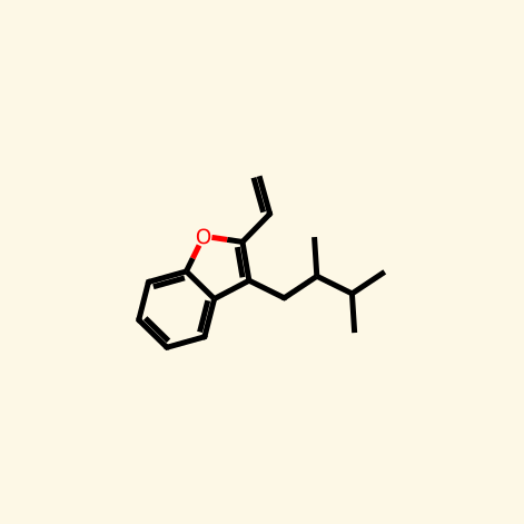 C=Cc1oc2ccccc2c1CC(C)C(C)C